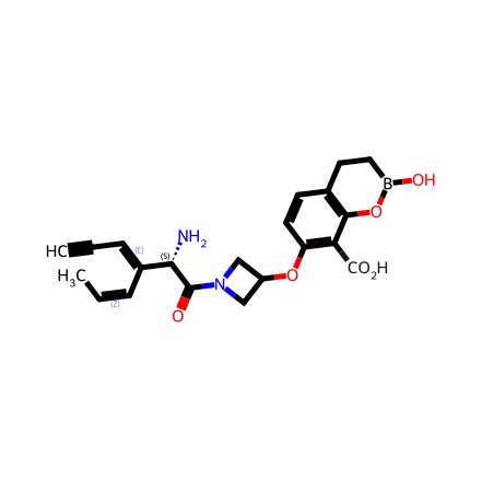 C#C/C=C(\C=C/C)[C@H](N)C(=O)N1CC(Oc2ccc3c(c2C(=O)O)OB(O)CC3)C1